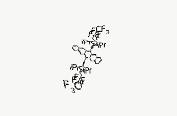 CC(C)[Si](C#Cc1c2cc3ccccc3cc2c(C#C[Si](CCC(F)(F)C(F)(F)C(F)(F)F)(C(C)C)C(C)C)c2cc3ccccc3cc12)(CCC(F)(F)C(F)(F)C(F)(F)F)C(C)C